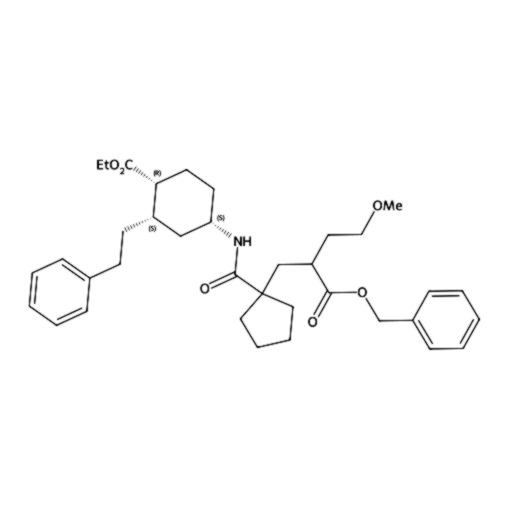 CCOC(=O)[C@@H]1CC[C@H](NC(=O)C2(CC(CCOC)C(=O)OCc3ccccc3)CCCC2)C[C@@H]1CCc1ccccc1